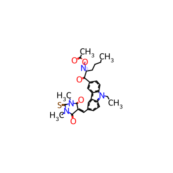 CCCC/C(=N\OC(C)=O)C(=O)c1ccc2c(c1)c1cc(C=C3C(=O)N(C)C(=S)N(C)C3=O)ccc1n2CC